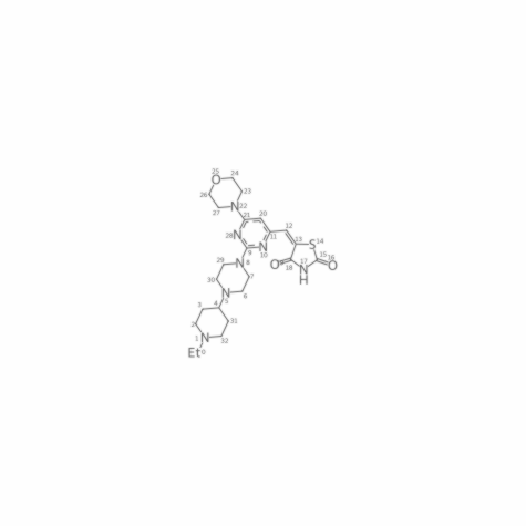 CCN1CCC(N2CCN(c3nc(C=C4SC(=O)NC4=O)cc(N4CCOCC4)n3)CC2)CC1